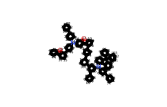 C1=CC(c2ccc(-c3cccc4oc5cc(N(c6ccc(-c7ccccc7)cc6)c6ccc(-c7cccc8c7oc7ccccc78)cc6)ccc5c34)cc2)=CC(c2cc(-c3ccccc3)cc(N(c3ccc(-c4ccccc4)cc3)c3cccc4c3-c3ccccc3C4(c3ccccc3)c3ccccc3)c2)C1